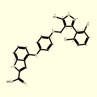 COC(=O)c1cc2c(Sc3ccc(OCc4c(-c5c(Cl)cccc5Cl)noc4C(C)C)cc3)cccc2s1